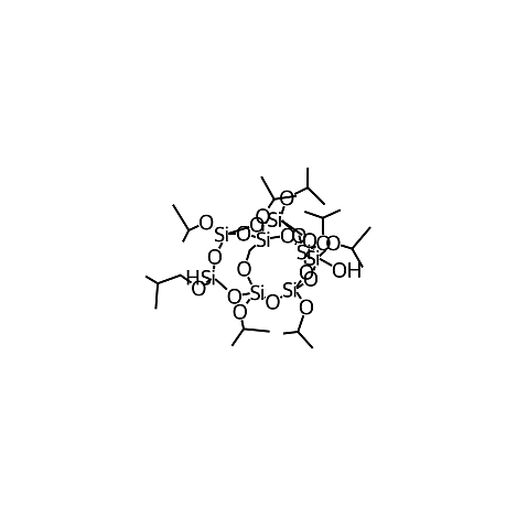 CC(C)CO[SiH]1O[Si]2(OC(C)C)OC[Si]3(OC(C)C)O[Si](OC(C)C)(O1)O[Si]1(OC(C)C)O[Si](O)(OC(C)C)O[Si](OC(C)C)(O2)O[Si](OC(C)C)(O3)O1